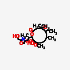 CCC1CC(C)CCCC2(C)OC2(O)C(O)C(C(C)=Cc2coc(CO)n2)OC(=O)CCC(C)(C)C1=O